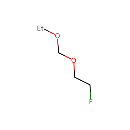 CCOCOCCF